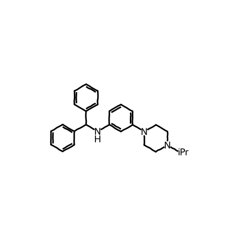 CC(C)N1CCN(c2cccc(NC(c3ccccc3)c3ccccc3)c2)CC1